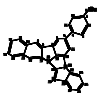 CC(C)(C)c1ccc(-c2cc3c4cc5ccccc5cc4n4c3c(c2)n2c3ccccc3nc24)cc1